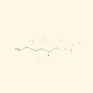 O.O=C[C@H](O)[C@@H](O)[C@H](O)[C@H](O)COP(=O)(O)O